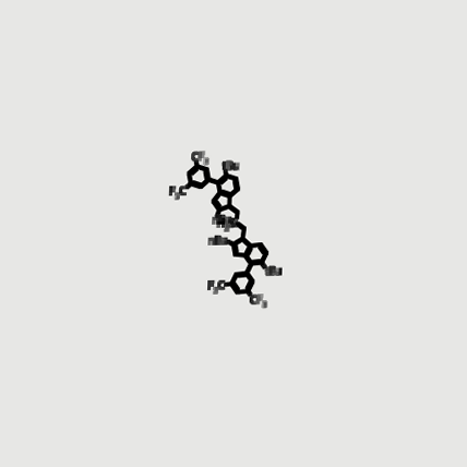 CCCCC1=Cc2c(ccc(C(C)(C)C)c2-c2cc(C(F)(F)F)cc(C(F)(F)F)c2)C1C[SiH2]CC1C(CCCC)=Cc2c1ccc(C(C)(C)C)c2-c1cc(C(F)(F)F)cc(C(F)(F)F)c1